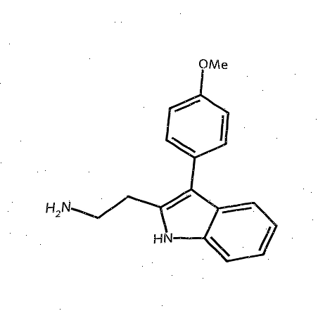 COc1ccc(-c2c(CCN)[nH]c3ccccc23)cc1